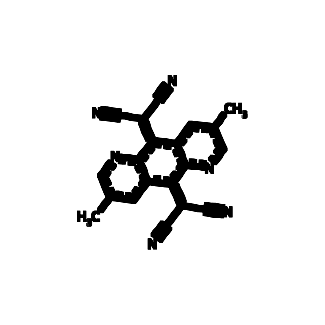 Cc1cnc2c(=C(C#N)C#N)c3cc(C)cnc3c(=C(C#N)C#N)c2c1